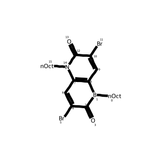 CCCCCCCCB1C(=O)C(Br)=Cc2c1cc(Br)c(=O)n2CCCCCCCC